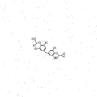 CCc1cc(Cc2cc(CC)c(OC(CC)C3CO3)c(CC)c2)cc(CC)c1OC(CC)C1CO1